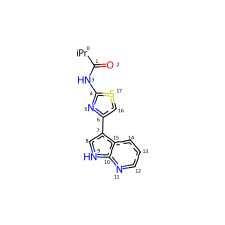 CC(C)C(=O)Nc1nc(-c2c[nH]c3ncccc23)cs1